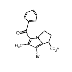 Cc1c(Br)c2n(c1C(=O)c1ccccc1)CCC2C(=O)O